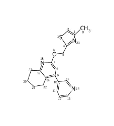 Cc1csc(COc2cc(-c3cccnc3)c3c(n2)CCCC3)n1